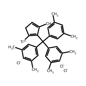 CC1=CC[C]([Ti+3])=C1C(c1cc(C)cc(C)c1)(c1cc(C)cc(C)c1)c1cc(C)cc(C)c1.[Cl-].[Cl-].[Cl-]